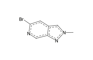 Cn1cc2cc(Br)ncc2n1